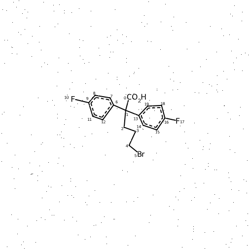 O=C(O)C(CCCBr)(c1ccc(F)cc1)c1ccc(F)cc1